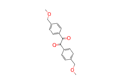 COCc1ccc(C(=O)C(=O)c2ccc(COC)cc2)cc1